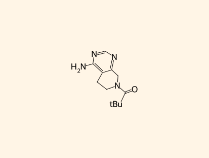 CC(C)(C)C(=O)N1CCc2c(N)ncnc2C1